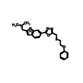 CN(C)Cc1cc2ccc(-c3nnc(CSCCOc4ccccc4)o3)cc2[nH]1